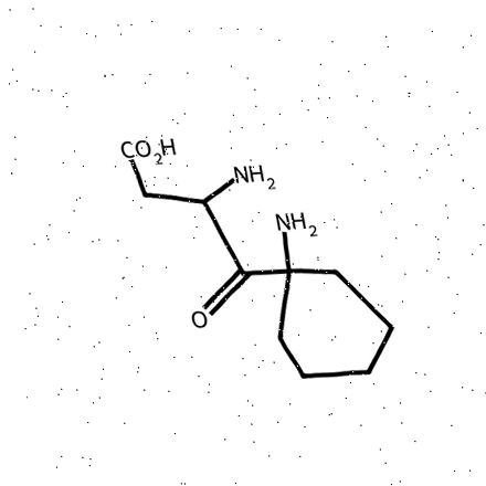 NC(CC(=O)O)C(=O)C1(N)CCCCC1